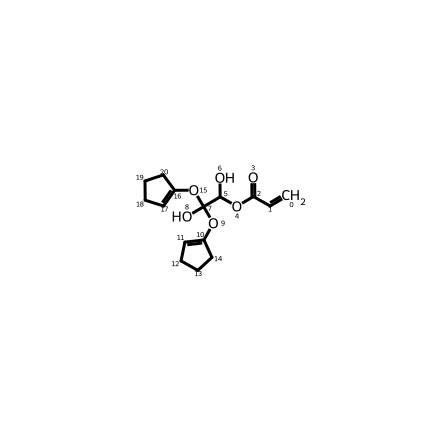 C=CC(=O)OC(O)C(O)(OC1=CCCC1)OC1=CCCC1